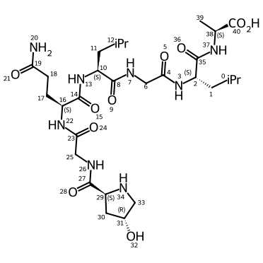 CC(C)C[C@H](NC(=O)CNC(=O)[C@H](CC(C)C)NC(=O)[C@H](CCC(N)=O)NC(=O)CNC(=O)[C@@H]1C[C@@H](O)CN1)C(=O)N[C@@H](C)C(=O)O